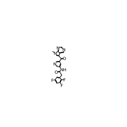 Cn1cc(C(=O)c2cncc(NC(=O)Cc3cc(F)cc(F)c3F)c2)c2cncnc21